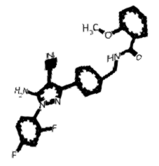 COc1ccccc1C(=O)NCc1ccc(-c2nn(-c3ccc(F)cc3F)c(N)c2C#N)cc1